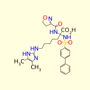 Cc1nc(NCCCCCC(NC(=O)C2=NOCC2)(NS(=O)(=O)c2ccc(-c3ccccc3)cc2)C(=O)O)[nH]c1C